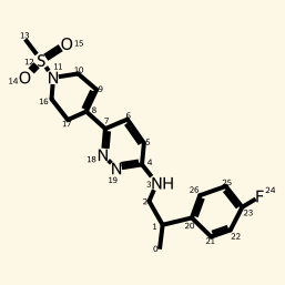 CC(CNc1ccc(C2=CCN(S(C)(=O)=O)CC2)nn1)c1ccc(F)cc1